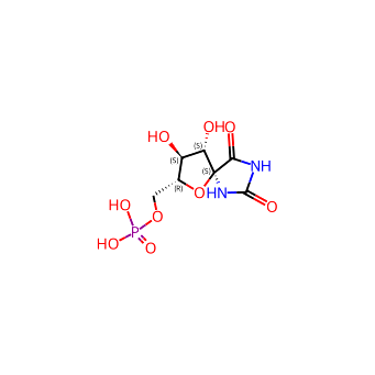 O=C1NC(=O)[C@@]2(N1)O[C@H](COP(=O)(O)O)[C@@H](O)[C@@H]2O